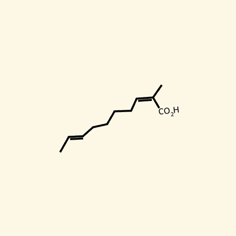 C/C=C/CCCC/C=C(/C)C(=O)O